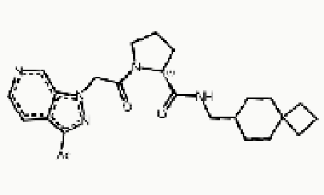 CC(=O)c1nn(CC(=O)N2CCC[C@H]2C(=O)NCC2CCC3(CCC3)CC2)c2cnccc12